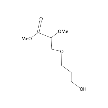 COC(=O)C(COCCCO)OC